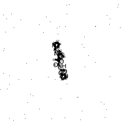 Cc1c(C(=O)NC[C@@H]2COc3ncccc3O2)oc2c1-c1nn(Cc3ccccn3)cc1CC2